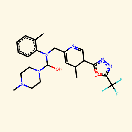 Cc1ccccc1N(CC1=CC(C)C(c2nnc(C(F)(F)F)o2)C=N1)C(O)N1CCN(C)CC1